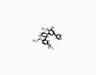 COc1ccc(OC)c(C2CN(c3nc(-c4ccncn4)cc(=O)n3C)CCN2)c1